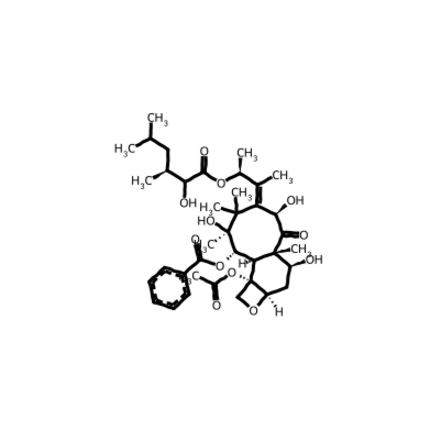 CC(=O)O[C@@]12CO[C@@H]1C[C@H](O)[C@@]1(C)C(=O)[C@H](O)/C(=C(\C)[C@H](C)OC(=O)C(O)[C@@H](C)CC(C)C)C(C)(C)[C@](C)(O)[C@@H](OC(=O)c3ccccc3)[C@H]21